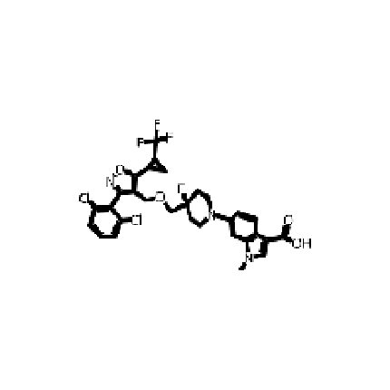 Cn1cc(C(=O)O)c2ccc(N3CCC(F)(COCc4c(-c5c(Cl)cccc5Cl)noc4C4CC4C(F)(F)F)CC3)cc21